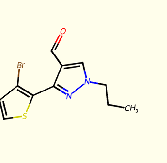 CCCn1cc(C=O)c(-c2sccc2Br)n1